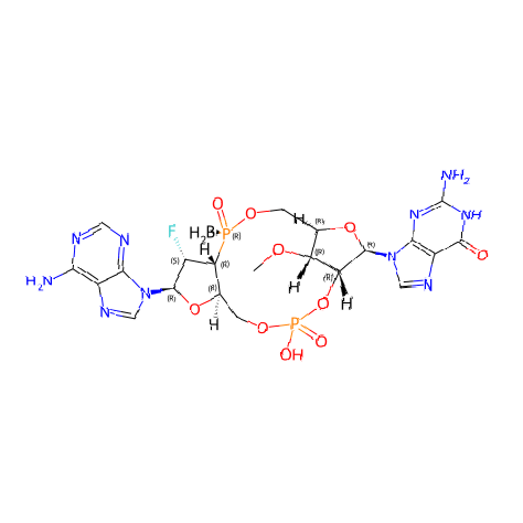 B[P@@]1(=O)OC[C@H]2O[C@@H](n3cnc4c(=O)[nH]c(N)nc43)[C@H](OP(=O)(O)OC[C@H]3O[C@@H](n4cnc5c(N)ncnc54)[C@H](F)[C@@H]31)[C@@H]2OC